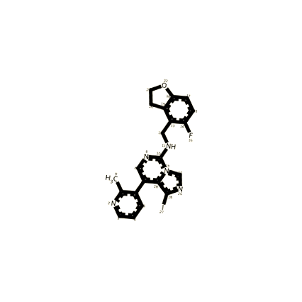 Cc1ncccc1-c1cnc(NCc2c(F)ccc3c2CCO3)n2cnc(I)c12